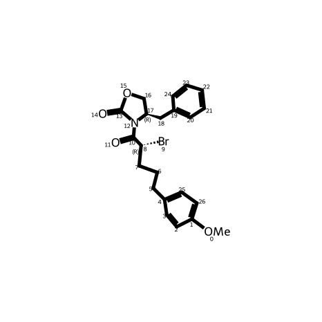 COc1ccc(CCC[C@@H](Br)C(=O)N2C(=O)OC[C@H]2Cc2ccccc2)cc1